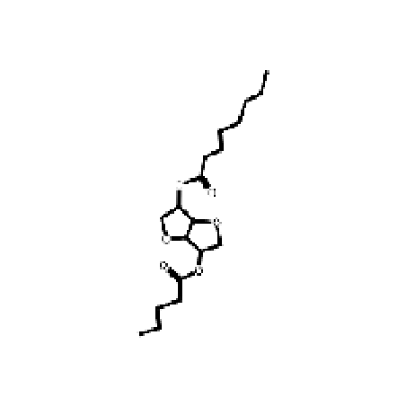 CCCCCCCC(=O)OC1COC2C(OC(=O)CCCC)COC12